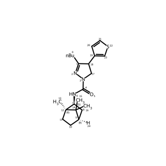 CCCCC1=NN(C(=O)N[C@H]2C[C@H]3CC[C@]2(C)C3(C)C)CC1c1ccsc1